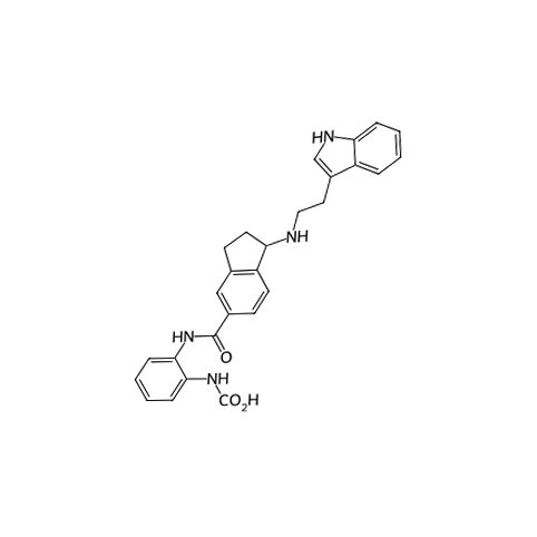 O=C(O)Nc1ccccc1NC(=O)c1ccc2c(c1)CCC2NCCc1c[nH]c2ccccc12